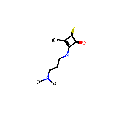 CCN(CC)CCCNc1c(C(C)(C)C)c(=S)c1=O